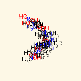 CC(C)(O)CN.CC(C)C(O)(CN)C(C)C.CCC(O)(CC)CN.CCCN(CCC)CCC.CCN(C(C)C)C(C)C.CCN(CC)CC.CN(C)Cc1ccc(O)c(CN(C)C)c1CN(C)C.CN(C)Cc1ccccc1.CN(C)Cc1ccccc1O.CN(CCO)CCO.OCCN(CCO)CCO